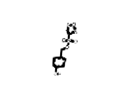 O=S(=O)(OCc1ccc(O)cc1)c1cnon1